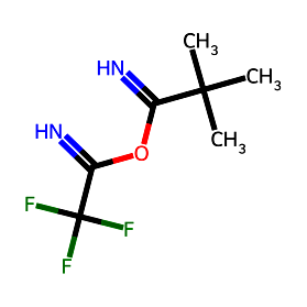 CC(C)(C)C(=N)OC(=N)C(F)(F)F